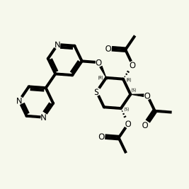 CC(=O)O[C@@H]1[C@@H](OC(C)=O)[C@H](OC(C)=O)CS[C@H]1Oc1cncc(-c2cncnc2)c1